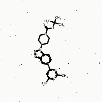 Cc1nc(N)cc(-c2ccc3c(c2)nnn3C2CCN(C(=O)OC(C)(C)C)CC2)n1